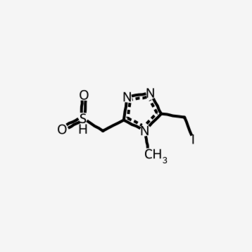 Cn1c(CI)nnc1C[SH](=O)=O